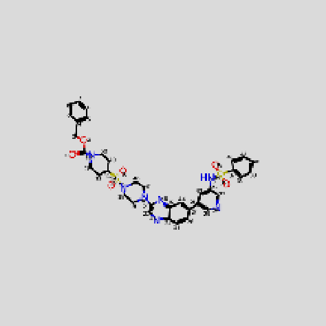 O=C(OCc1ccccc1)N1CCC(S(=O)(=O)N2CCN(c3cnc4ccc(-c5cncc(NS(=O)(=O)c6ccccc6)c5)cc4n3)CC2)CC1